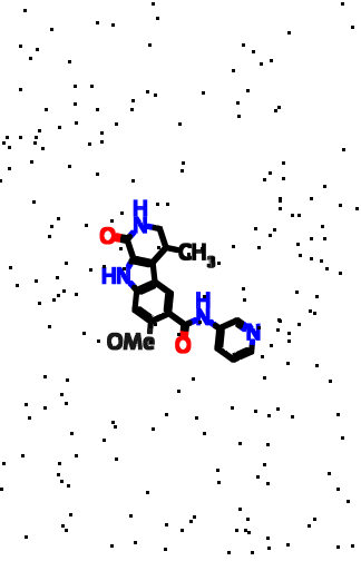 COc1cc2[nH]c3c(c2cc1C(=O)Nc1cccnc1)C(C)CNC3=O